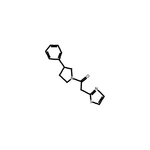 O=C(Cc1nccs1)N1CCC(c2ccccc2)C1